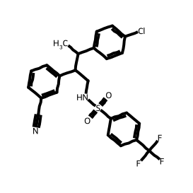 CC(c1ccc(Cl)cc1)C(CNS(=O)(=O)c1ccc(C(F)(F)F)cc1)c1cccc(C#N)c1